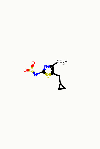 O=C(O)c1nc(N=S(=O)=O)sc1CC1CC1